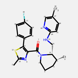 CC[C@@H]1CCCN(C(=O)c2nc(C)sc2-c2ccc(F)cc2)[C@@H]1CNc1ccc(C(F)(F)F)cn1